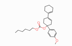 CCCCCCOC(=O)OC1(c2ccc(OC)cc2)CC=C(C2=CCCCC2)CC1